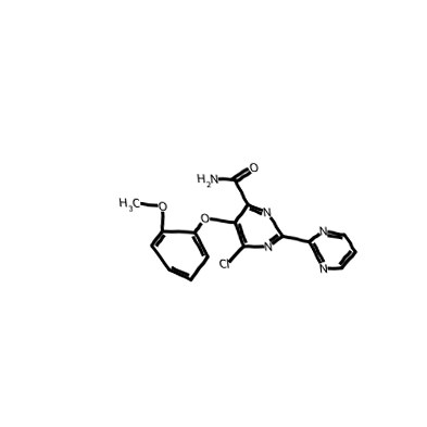 COc1ccccc1Oc1c(Cl)nc(-c2ncccn2)nc1C(N)=O